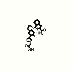 CNC(=O)Cn1cc(-c2cc3c(cc2C)N(c2nc(C(=O)NC)cc4ccccc24)CCC3)cn1